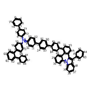 c1ccc(-c2ccc(N(c3ccc(-c4ccc(-c5ccc(-c6cccc7c6c6ccccc6n6c8ccccc8c(-c8ccccc8)c76)cc5)cc4)cc3)c3ccc(-c4ccccc4-c4ccccc4)cc3)cc2)cc1